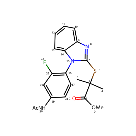 COC(=O)C(C)(C)Sc1nc2ccccc2n1-c1ccc(NC(C)=O)cc1F